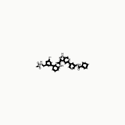 CS(=O)(=O)NCc1cc(F)cc(-c2cccc3[nH]c(-c4n[nH]c5cnc(-c6cncc(NC(=O)c7ccccc7)c6)cc45)nc23)c1